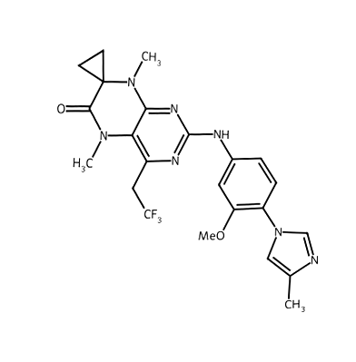 COc1cc(Nc2nc(CC(F)(F)F)c3c(n2)N(C)C2(CC2)C(=O)N3C)ccc1-n1cnc(C)c1